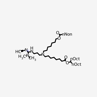 C#C/N=C(/NCCCN(CCCCCCCOC(=O)CCCCCCCCC)CCCCCCCC(=O)OC(CCCCCCCC)CCCCCCCC)N(C)C